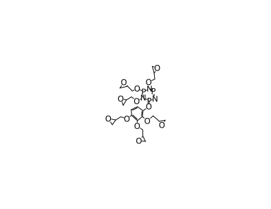 c1cc(Op2npn(OCC3CO3)p(OCC3CO3)n2OCC2CO2)c(OCC2CO2)c(OCC2CO2)c1OCC1CO1